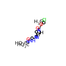 Cc1c(Cl)cccc1OCCCC(=O)N1C[C@@H]2C[C@@H]2c2c(-c3cnn(Cc4cccc(NC(=O)N(CC(=O)O)CC(=O)O)c4)c3)cccc21